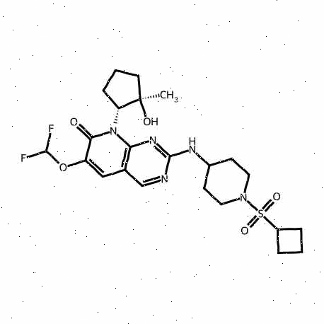 C[C@@]1(O)CCC[C@H]1n1c(=O)c(OC(F)F)cc2cnc(NC3CCN(S(=O)(=O)C4CCC4)CC3)nc21